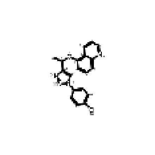 CC(Oc1cccc2ncccc12)c1cn(-c2ccc(Cl)cc2)nn1